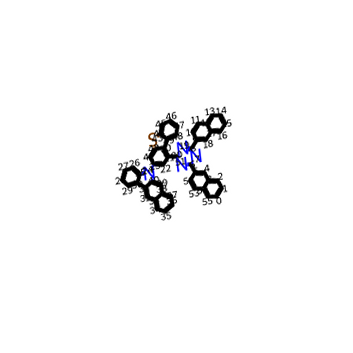 c1ccc2cc(-c3nc(-c4ccc5ccccc5c4)nc(-c4cc(-n5c6ccccc6c6cc7ccccc7cc65)cc5sc6ccccc6c45)n3)ccc2c1